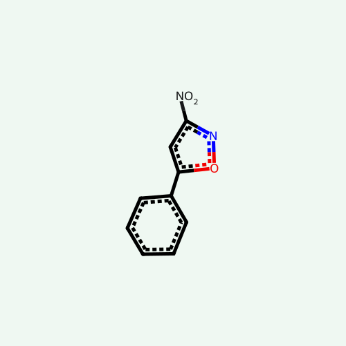 O=[N+]([O-])c1cc(-c2ccccc2)on1